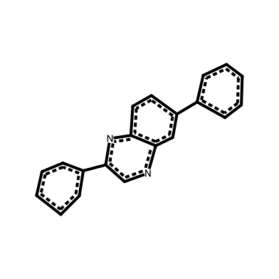 c1ccc(-c2ccc3nc(-c4ccccc4)cnc3c2)cc1